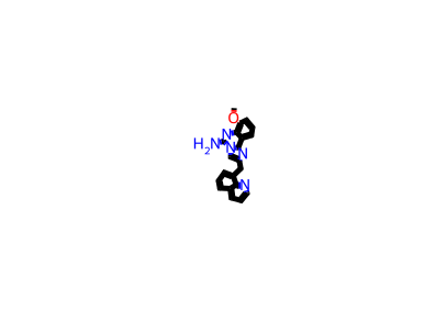 COc1cccc2c1nc(N)n1cc(Cc3cccc4cccnc34)nc21